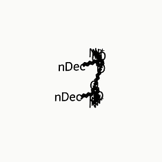 CCCCCCCCCCCCCCCc1cc(OCCCCCCOc2ccc(S(=O)(=O)N=[N+]=[N-])c(CCCCCCCCCCCCCCC)c2)ccc1S(=O)(=O)N=[N+]=[N-]